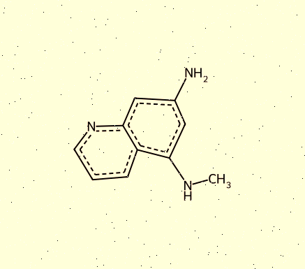 CNc1cc(N)cc2ncccc12